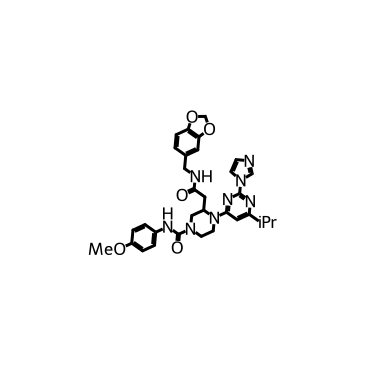 COc1ccc(NC(=O)N2CCN(c3cc(C(C)C)nc(-n4ccnc4)n3)C(CC(=O)NCc3ccc4c(c3)OCO4)C2)cc1